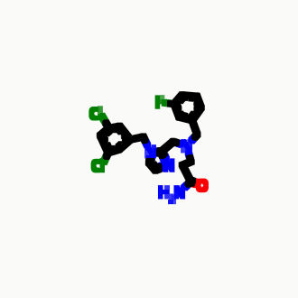 NC(=O)CCN(Cc1cccc(F)c1)Cc1nccn1Cc1cc(Cl)cc(Cl)c1